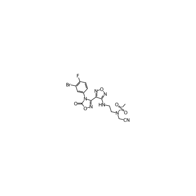 CS(=O)(=O)N(CC#N)CCNc1nonc1-c1noc(=O)n1-c1ccc(F)c(Br)c1